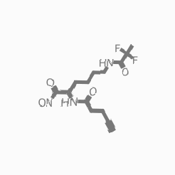 C#CCCC(=O)NC(CCCCNC(=O)C(C)(F)F)C(=O)N=O